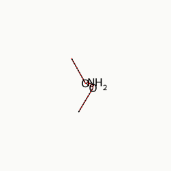 C#CC#CC#CC#CC#CC#CC#CC#CC#CC#CC#COc1ccc(C(N)c2ccc(OC#CC#CC#CC#CC#CC#CC#CC#CC#CC#CC#C)cc2)cc1